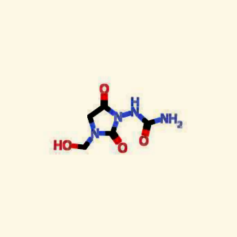 NC(=O)NN1C(=O)CN(CO)C1=O